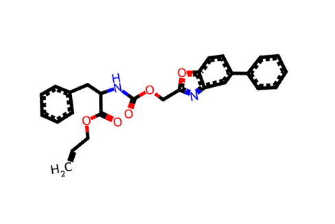 C=CCOC(=O)C(Cc1ccccc1)NC(=O)OCc1nc2cc(-c3ccccc3)ccc2o1